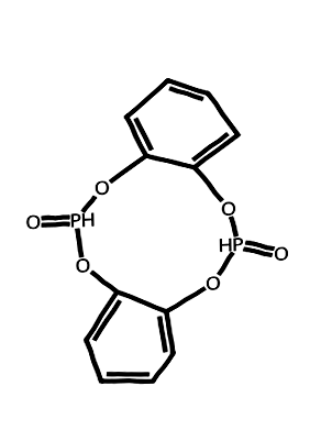 O=[PH]1Oc2ccccc2O[PH](=O)Oc2ccccc2O1